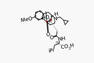 COc1ccc2c(c1)C13CCN(CC4CC4)[C@H](C2)[C@]1(O)C[C@H](CC(=O)N[C@@H](CC(C)C)C(=O)O)C(=O)C3